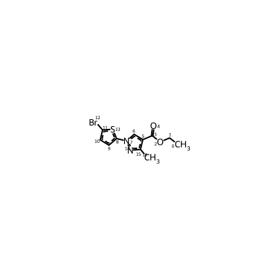 CCOC(=O)c1cn(-c2ccc(Br)s2)nc1C